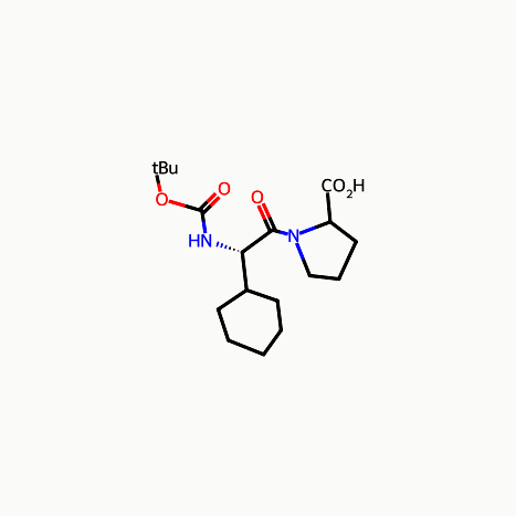 CC(C)(C)OC(=O)N[C@H](C(=O)N1CCCC1C(=O)O)C1CCCCC1